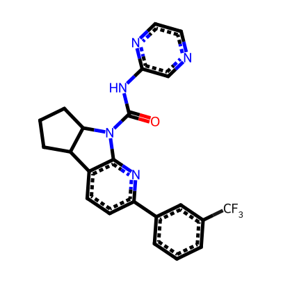 O=C(Nc1cnccn1)N1c2nc(-c3cccc(C(F)(F)F)c3)ccc2C2CCCC21